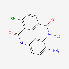 CCN(C(=O)c1ccc(Cl)c(C(N)=O)c1)c1ccccc1N